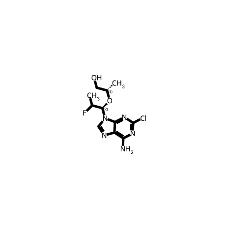 CC(F)[C@@H](O[C@@H](C)CO)n1cnc2c(N)nc(Cl)nc21